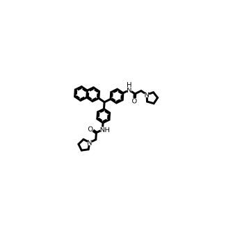 O=C(CN1CCCC1)Nc1ccc(C(c2ccc(NC(=O)CN3CCCC3)cc2)c2ccc3ccccc3c2)cc1